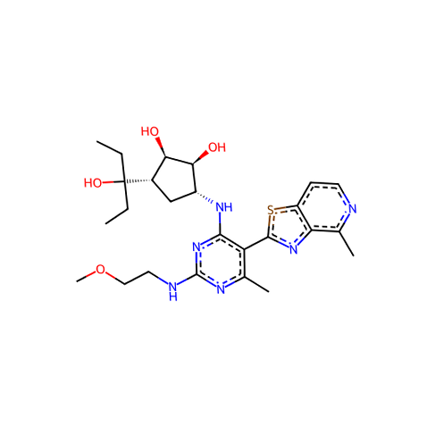 CCC(O)(CC)[C@H]1C[C@@H](Nc2nc(NCCOC)nc(C)c2-c2nc3c(C)nccc3s2)[C@H](O)[C@@H]1O